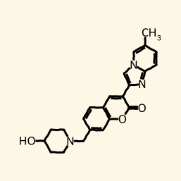 Cc1ccc2nc(-c3cc4ccc(CN5CCC(O)CC5)cc4oc3=O)cn2c1